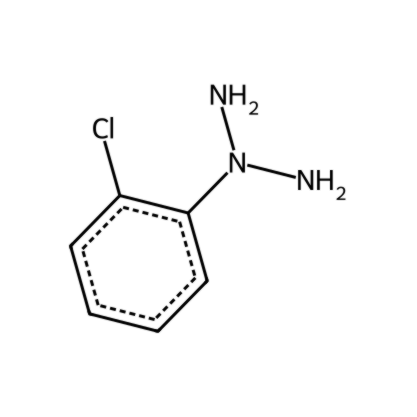 NN(N)c1ccccc1Cl